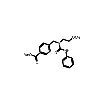 COCCN(Cc1ccc(C(=O)OC)cc1)C(=O)Nc1ccccc1